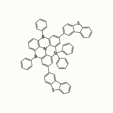 c1ccc(B2c3cccc4c3N3c5c2cc(-c2ccc6sc7ccccc7c6c2)cc5[Si](c2ccccc2)(c2ccccc2)c2cc(-c5ccc6sc7ccccc7c6c5)cc(c23)B4c2ccccc2)cc1